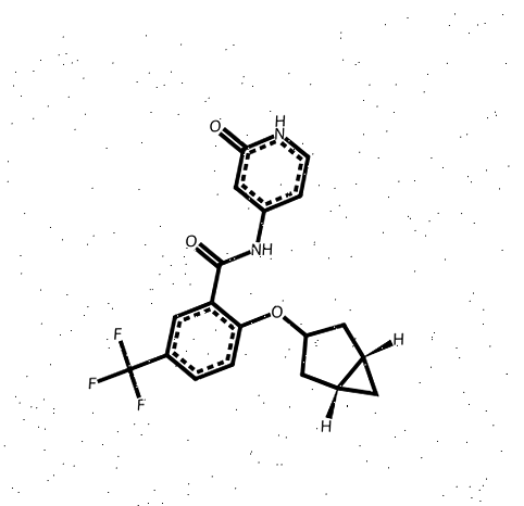 O=C(Nc1cc[nH]c(=O)c1)c1cc(C(F)(F)F)ccc1OC1C[C@@H]2C[C@@H]2C1